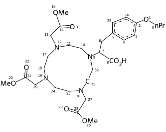 CCCOc1ccc(CC(C(=O)O)N2CCN(CC(=O)OC)CCN(CC(=O)OC)CCN(CC(=O)OC)CC2)cc1